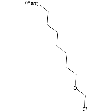 CCCCCCCCCCCCOCCl